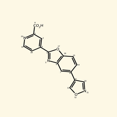 O=C(O)c1cc(-c2nc3cc(-c4cnoc4)ccc3o2)ccn1